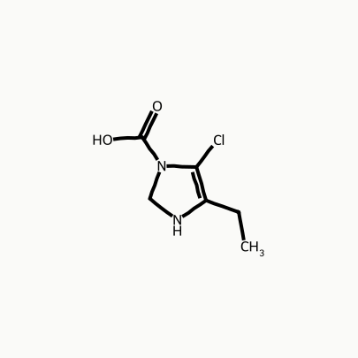 CCC1=C(Cl)N(C(=O)O)CN1